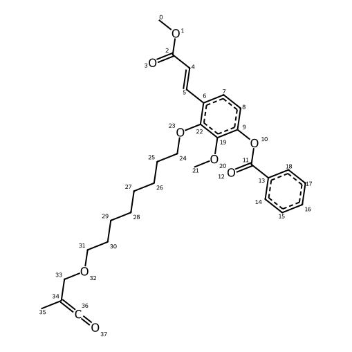 COC(=O)C=Cc1ccc(OC(=O)c2ccccc2)c(OC)c1OCCCCCCCCOCC(C)=C=O